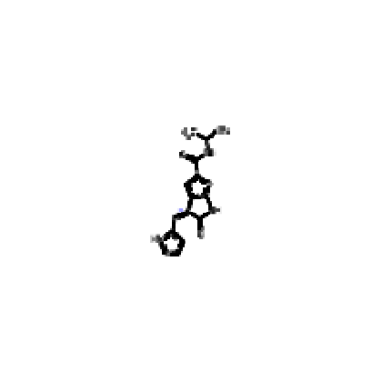 CC(NC(=O)c1cc2c(s1)NC(=O)/C2=C\c1ccc[nH]1)C(C)(C)C